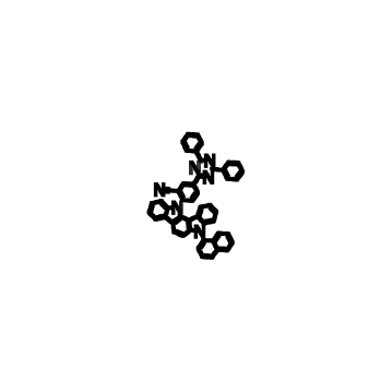 N#Cc1cc(-c2nc(-c3ccccc3)nc(-c3ccccc3)n2)ccc1-n1c2ccccc2c2ccc3c(c4ccccc4n3-c3cccc4ccccc34)c21